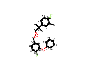 Cc1cc(C(C)(C)COCc2ccc(F)c(Oc3ccccc3)c2)ccc1F